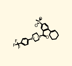 CS(=O)(=O)c1ccc(C2=CCCCCC2)c(C(=O)N2CCN(c3ccc(C(F)(F)F)cc3)CC2)c1